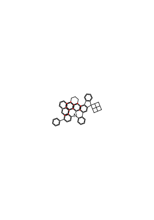 c1ccc(-c2ccc(N(c3ccccc3-c3ccc4c(c3)C3(c5ccccc5-4)C4CC5CC6CC3C564)c3ccccc3-c3cccc4cccc(C5CCCCC5)c34)c(-c3ccccc3)c2)cc1